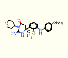 COc1ccc(Nc2cccc([C@]3(C)CC(=O)N(C4CCOCC4)C(=N)N3)c2Cl)cc1